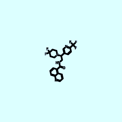 O=C(NCC(c1ccc(C(F)(F)F)nc1)N1CCC(F)(F)CC1)c1cccc2ncccc12